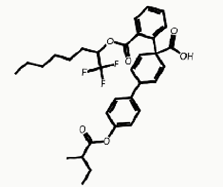 CCCCCCC(OC(=O)c1ccccc1C1(C(=O)O)C=CC(c2ccc(OC(=O)C(C)CC)cc2)C=C1)C(F)(F)F